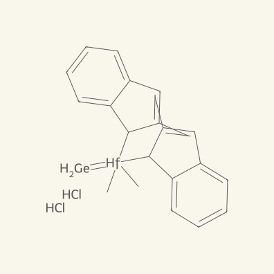 CC1=Cc2ccccc2[CH]1[Hf]([CH3])([CH3])(=[GeH2])[CH]1C(C)=Cc2ccccc21.Cl.Cl